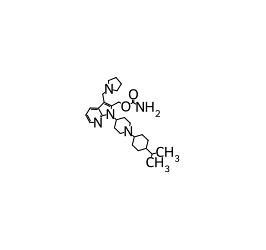 CC(C)C1CCC(N2CCC(n3c(COC(N)=O)c(CN4CCCC4)c4cccnc43)CC2)CC1